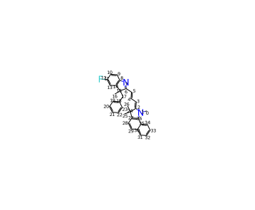 CN1/C(=C/C=C/C2=Nc3ccc(F)cc3C2(C)Cc2ccccc2)C(C)(C)c2ccc3ccccc3c21